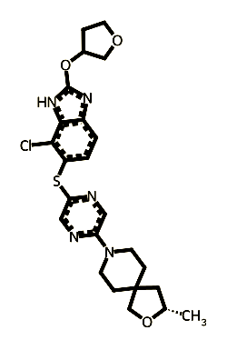 C[C@H]1CC2(CCN(c3cnc(Sc4ccc5nc(OC6CCOC6)[nH]c5c4Cl)cn3)CC2)CO1